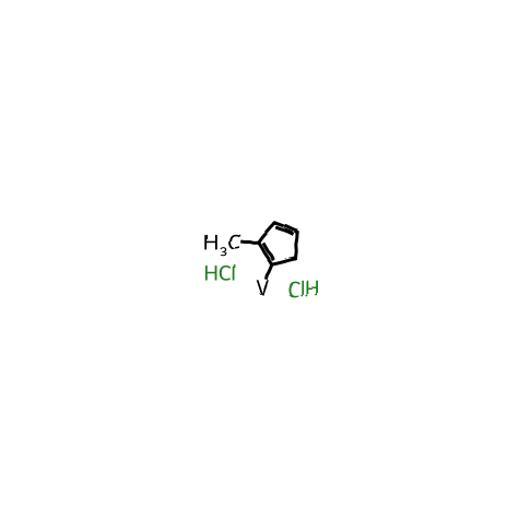 CC1=[C]([V])CC=C1.Cl.Cl